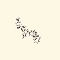 Cc1cn2c(n1)c(-c1ccc(NS(=O)(=O)c3ccccc3Cl)c(F)c1)cc1cnc(NC3CCC(N(C)C)CC3)nc12